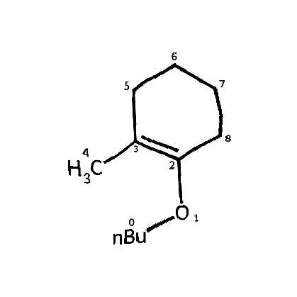 CCCCOC1=C(C)CCCC1